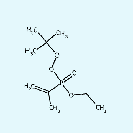 C=C(C)P(=O)(OCC)OOC(C)(C)C